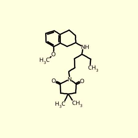 CCC(CCCN1C(=O)CC(C)(C)CC1=O)NC1CCc2cccc(OC)c2C1